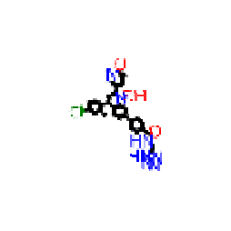 Cc1cc(Cl)ccc1C(CC(=NO)c1ccc(=O)n(C)c1)c1ccc(-c2ccc(C(=O)NCc3nnn[nH]3)cc2)cc1